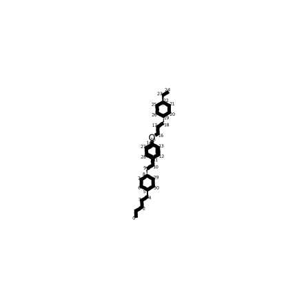 CCCCC[C@H]1CC[C@H](CCc2ccc(OCCC[C@H]3CC[C@H](CC)CC3)cc2)CC1